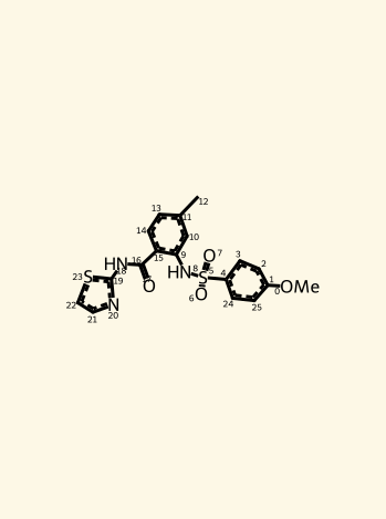 COc1ccc(S(=O)(=O)Nc2cc(C)ccc2C(=O)Nc2nccs2)cc1